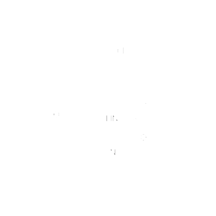 CC(C)(C)C(=O)NC1=NC=CCC1C(=O)c1ccc(Cl)cc1